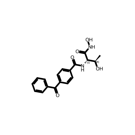 C[C@@H](O)[C@H](NC(=O)c1ccc(C(=O)c2ccccc2)cc1)C(=O)NO